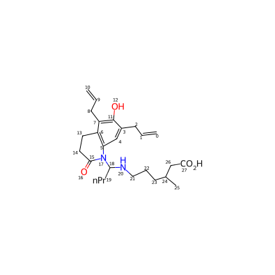 C=CCc1cc2c(c(CC=C)c1O)CCC(=O)N2C(CCC)NCCCC(C)CC(=O)O